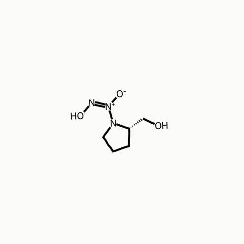 [O-]/[N+](=N/O)N1CCC[C@H]1CO